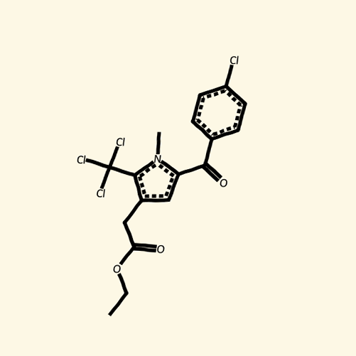 CCOC(=O)Cc1cc(C(=O)c2ccc(Cl)cc2)n(C)c1C(Cl)(Cl)Cl